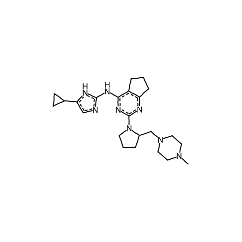 CN1CCN(CC2CCCN2c2nc3c(c(Nc4ncc(C5CC5)[nH]4)n2)CCC3)CC1